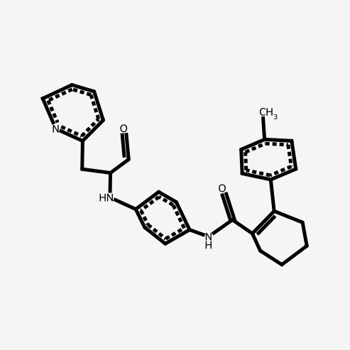 Cc1ccc(C2=C(C(=O)Nc3ccc(NC(C=O)Cc4ccccn4)cc3)CCCC2)cc1